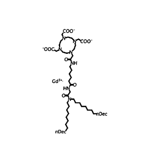 CCCCCCCCCCCCCCCCCCN(CCCCCCCCCCCCCCCCCC)C(=O)CNC(=O)CCCCCNC(=O)CN1CCN(CC(=O)[O-])CCN(CC(=O)[O-])CCN(CC(=O)[O-])CC1.[Gd+3]